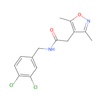 Cc1noc(C)c1CC(=O)NCc1ccc(Cl)c(Cl)c1